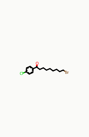 O=C(CCCCCCCCBr)c1ccc(Cl)cc1